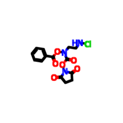 O=C(ON(CCNCl)C(=O)ON1C(=O)CCC1=O)c1ccccc1